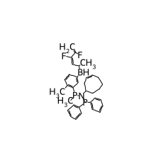 C=C(F)/C(F)=C\C(C)Bc1ccc(C)c(P(C)N(C2C/C=C\CCCC2)P(c2ccccc2)c2ccccc2)c1